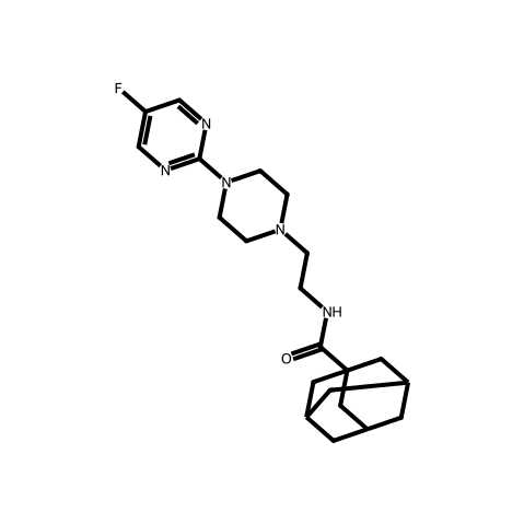 O=C(NCCN1CCN(c2ncc(F)cn2)CC1)C12CC3CC(CC(C3)C1)C2